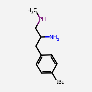 CPCC(N)Cc1ccc(C(C)(C)C)cc1